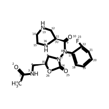 CC(=O)NC[C@H]1CN(N(C(=O)[C@@H]2CNCCN2)c2ccccc2F)C(=O)O1